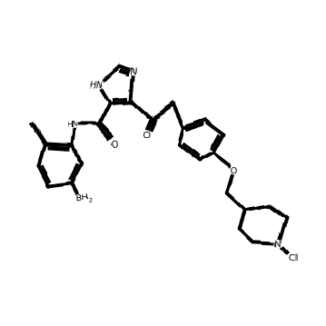 Bc1ccc(C)c(NC(=O)c2[nH]cnc2C(=O)Cc2ccc(OCC3CCN(Cl)CC3)cc2)c1